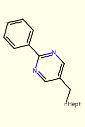 CCCCCCCCc1cnc(-c2cc[c]cc2)nc1